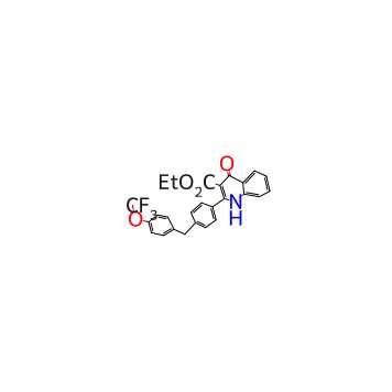 CCOC(=O)c1c(-c2ccc(Cc3ccc(OC(F)(F)F)cc3)cc2)[nH]c2ccccc2c1=O